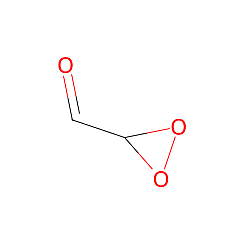 O=CC1OO1